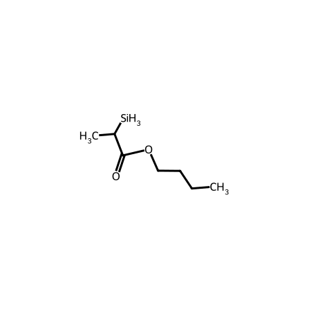 CCCCOC(=O)C(C)[SiH3]